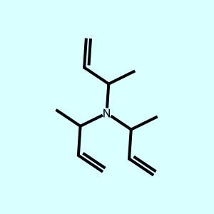 C=CC(C)N(C(C)C=C)C(C)C=C